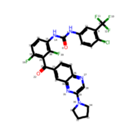 O=C(Nc1ccc(Cl)c(C(F)(F)F)c1)Nc1ccc(F)c(C(=O)c2ccc3ncc(N4CCCC4)nc3c2)c1F